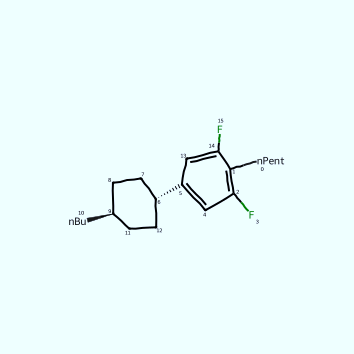 CCCCCc1c(F)cc([C@H]2CC[C@H](CCCC)CC2)cc1F